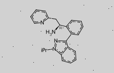 CC(C)n1nc(-c2ccccc2[C@@H](N)Cc2ccccn2)c2ccccc21